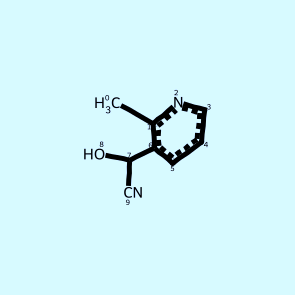 Cc1ncccc1C(O)C#N